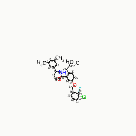 Cc1cc(C)cc(C(CC(C)C)NC(=O)c2cc(OCc3cccc(Cl)c3F)ccc2CCC(=O)O)c1